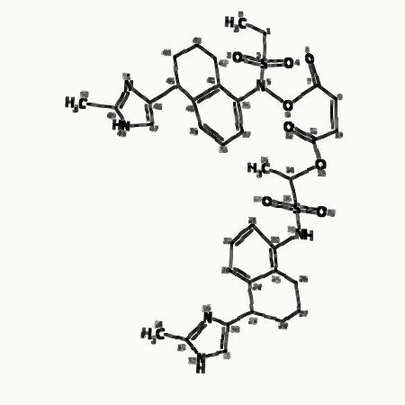 CCS(=O)(=O)N(OC(=O)/C=C\C(=O)OC(C)S(=O)(=O)Nc1cccc2c1CCCC2c1c[nH]c(C)n1)c1cccc2c1CCCC2c1c[nH]c(C)n1